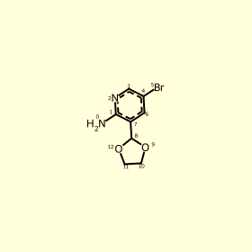 Nc1ncc(Br)cc1C1OCCO1